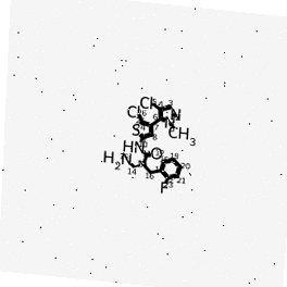 Cn1ncc(Cl)c1-c1cc(NC(=O)[C@H](CN)Cc2ccccc2F)sc1Cl